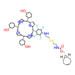 O=C(NCCSSCCNc1c(F)c(F)c(-c2c3nc(c(-c4cccc(O)c4)c4ccc([nH]4)c(-c4cccc(O)c4)c4nc(c(-c5cccc(O)c5)c5ccc2[nH]5)C=C4)C=C3)c(F)c1F)OC[C@H]1[C@@H]2CC/C=C\CC[C@@H]21